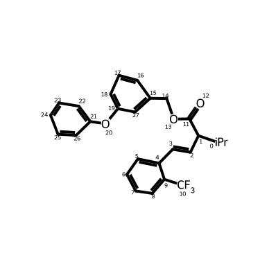 CC(C)C(C=Cc1ccccc1C(F)(F)F)C(=O)OCc1cccc(Oc2ccccc2)c1